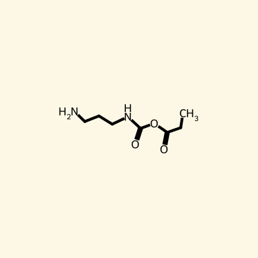 CCC(=O)OC(=O)NCCCN